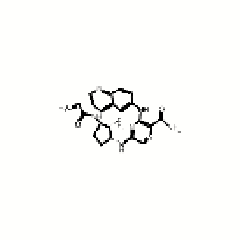 C=CC(=O)NC1CC[C@@H](Nc2cnc(C(N)=O)c(Nc3ccc4ncccc4c3)n2)[C@H]1C